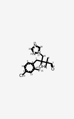 CC(C)(C=O)C(O)(Cc1ccc(Cl)cc1F)Cn1cncn1